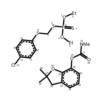 CCOP(=S)(OCC)SCSc1ccc(Cl)cc1.CNC(=O)Oc1cccc2c1OC(C)(C)C2